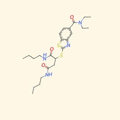 CCCCNC(=O)CC(Sc1nc2cc(C(=O)N(CC)CC)ccc2s1)C(=O)NCCCC